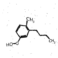 CCCCc1cc(OO)ccc1C